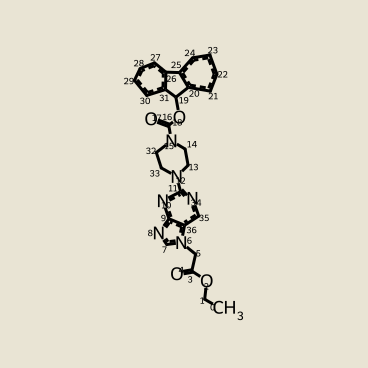 CCOC(=O)Cn1cnc2nc(N3CCN(C(=O)OC4c5ccccc5-c5ccccc54)CC3)ncc21